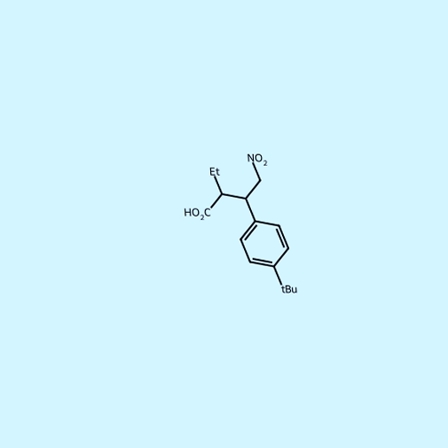 CCC(C(=O)O)C(C[N+](=O)[O-])c1ccc(C(C)(C)C)cc1